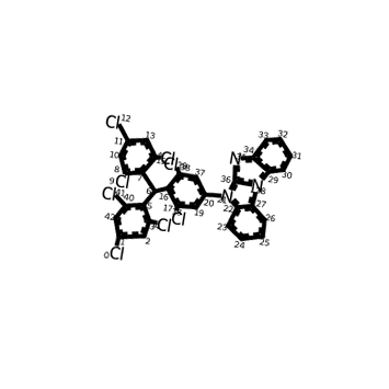 Clc1cc(Cl)c(C(c2c(Cl)cc(Cl)cc2Cl)c2c(Cl)cc(-n3c4ccccc4n4c5ccccc5nc34)cc2Cl)c(Cl)c1